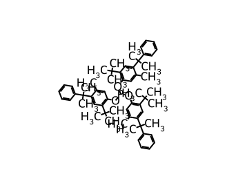 Cc1cc(OP(Oc2cc(C)c(C(C)(C)c3ccccc3)cc2C(C)(C)C)Oc2cc(C)c(C(C)(C)c3ccccc3)cc2C(C)(C)C)c(C(C)(C)C)cc1C(C)(C)c1ccccc1